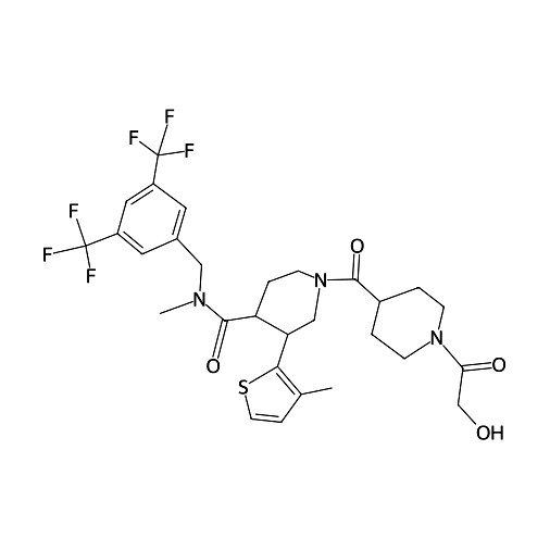 Cc1ccsc1C1CN(C(=O)C2CCN(C(=O)CO)CC2)CCC1C(=O)N(C)Cc1cc(C(F)(F)F)cc(C(F)(F)F)c1